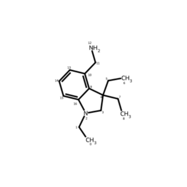 CCN1CC(CC)(CC)c2c(CN)cccc21